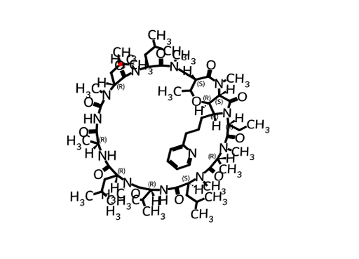 CC[C@@H]1C(=O)N(C)[C@H](C)C(=O)N(C)[C@@H](CC(C)C)C(=O)N[C@H](C(C)C)C(=O)N(C)[C@H](CC(C)C)C(=O)N[C@H](C)C(=O)NC(=O)N(C)[C@H](CC(C)C)C(=O)N(C)C(CC(C)C)C(=O)N(C)[C@@H]2C(=O)N(C)[C@@H]3C(=O)N1[C@H](CCCc1ccccn1)[C@H]3OC2C